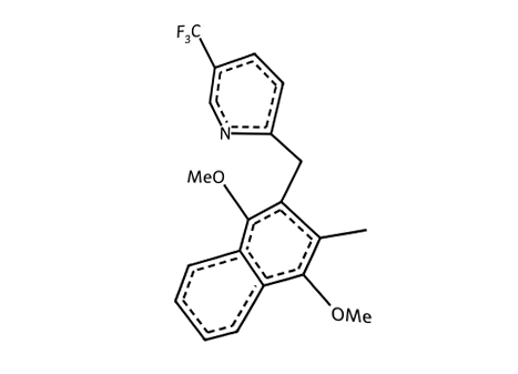 COc1c(C)c(Cc2ccc(C(F)(F)F)cn2)c(OC)c2ccccc12